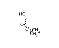 C#CCCCC(=O)N1CC[C@@H](N(C)C)C1